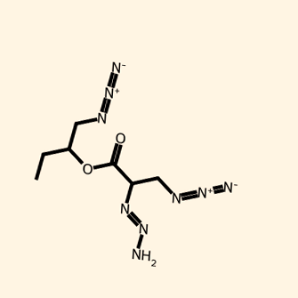 CCC(CN=[N+]=[N-])OC(=O)C(CN=[N+]=[N-])N=NN